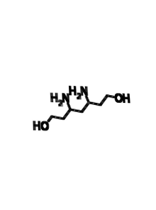 NC(CCO)CC(N)CCO